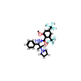 COc1cc(C(F)(F)F)cc(C(F)(F)F)c1C(=O)NC(c1ccccc1)C(C)(C)N1CCCC1